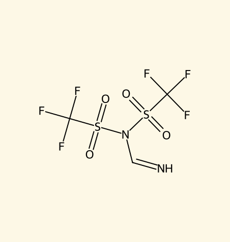 N=CN(S(=O)(=O)C(F)(F)F)S(=O)(=O)C(F)(F)F